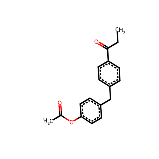 CCC(=O)c1ccc(Cc2ccc(OC(C)=O)cc2)cc1